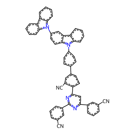 N#Cc1cccc(-c2cc(-c3ccc(-c4ccc(-n5c6ccccc6c6cc(-n7c8ccccc8c8ccccc87)ccc65)cc4)cc3C#N)nc(-c3cccc(C#N)c3)n2)c1